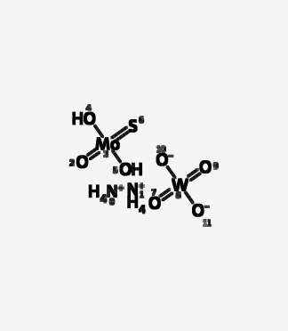 [NH4+].[NH4+].[O]=[Mo]([OH])([OH])=[S].[O]=[W](=[O])([O-])[O-]